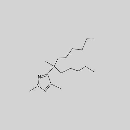 CCCCCCC(C)(CCCCC)c1nn(C)cc1C